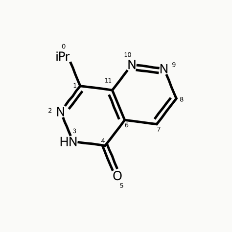 CC(C)c1n[nH]c(=O)c2ccnnc12